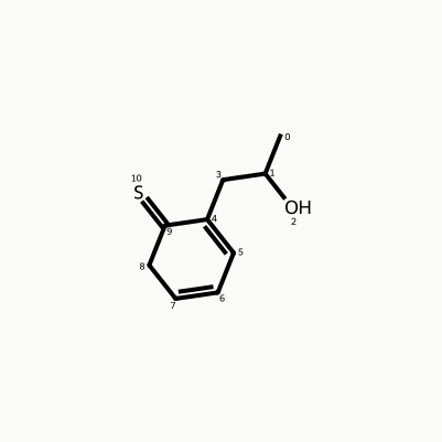 CC(O)CC1=CC=CCC1=S